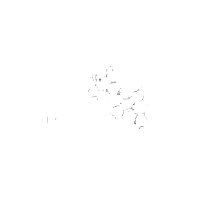 CCCCCCc1ccc2[nH]c(=O)c3ccc(-c4c5ccccc5c(-c5ccccc5)c5ccccc45)cc3c2c1